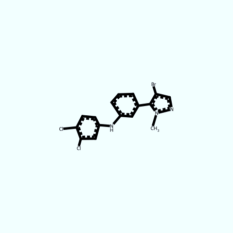 Cn1ncc(Br)c1-c1cccc(Nc2ccc(Cl)c(Cl)c2)c1